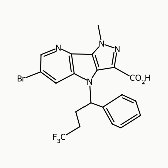 Cn1nc(C(=O)O)c2c1c1ncc(Br)cc1n2C(CCC(F)(F)F)c1ccccc1